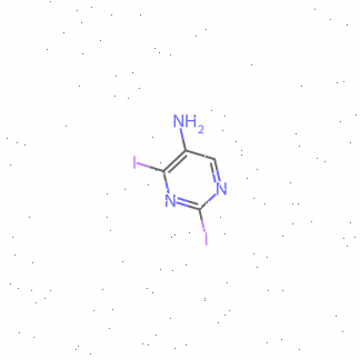 Nc1cnc(I)nc1I